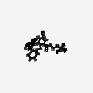 CN1c2ccccc2Cc2c(NCCCC(F)(F)F)cc(Cl)cc2S1(=O)=O